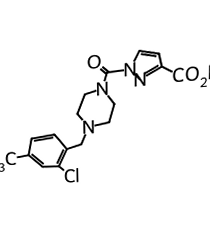 O=C(O)c1ccn(C(=O)N2CCN(Cc3ccc(C(F)(F)F)cc3Cl)CC2)n1